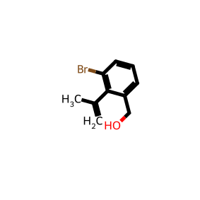 C=C(C)c1c(Br)cccc1CO